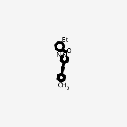 CCC1CCCc2nc3cc(C#Cc4ccc(C)cc4)ccn3c(=O)c2C1